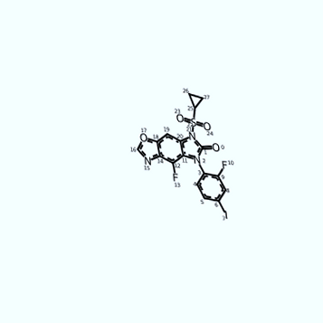 O=c1n(-c2ccc(I)cc2F)c2c(F)c3ncoc3cc2n1S(=O)(=O)C1CC1